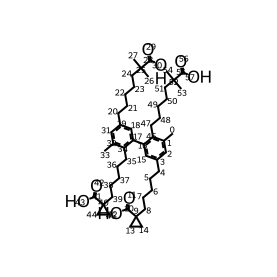 Cc1cc(CCCCCC2(C(=O)O)CC2)cc(-c2cc(CCCCCC(C)(C)C(=O)O)cc(C)c2CCCCCC2(C(=O)O)CC2)c1CCCCCC(C)(C)C(=O)O